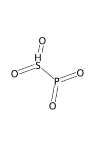 O=P(=O)[SH](=O)=O